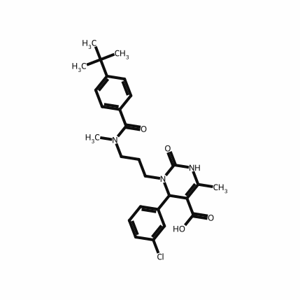 CC1=C(C(=O)O)C(c2cccc(Cl)c2)N(CCCN(C)C(=O)c2ccc(C(C)(C)C)cc2)C(=O)N1